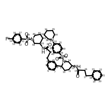 O=C(CCc1cccc(C2CCC(NC(=O)CCc3ccccc3)CN2S(=O)(=O)c2ccc(N3CCCCC3)cc2)c1)NC1CCCN(S(=O)(=O)c2ccc(F)cc2)C1